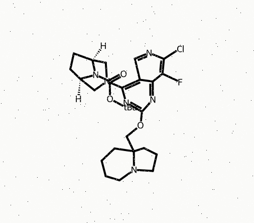 CC(C)(C)OC(=O)N1[C@@H]2CC[C@H]1CN(c1nc(OCC34CCCCN3CCC4)nc3c(F)c(Cl)ncc13)C2